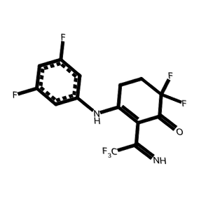 N=C(C1=C(Nc2cc(F)cc(F)c2)CCC(F)(F)C1=O)C(F)(F)F